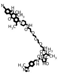 CCc1cc2c(cc1N1CCC(NC(=O)CCOCCOCCOCCC(=O)NC(C(=O)N3C[C@H](O)C[C@H]3C(=O)NCc3ccc(-c4scnc4C)cc3)C(C)(C)C)CC1)C(C)(C)c1[nH]c3cc(C#N)ccc3c1C2=O